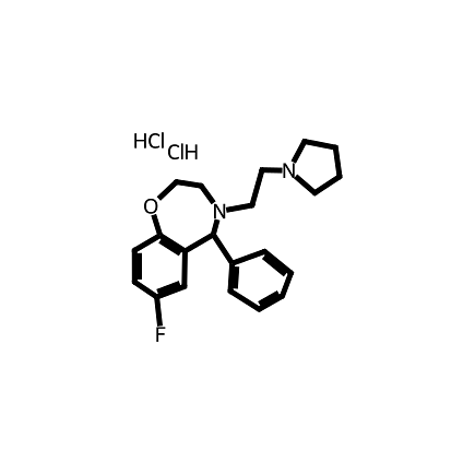 Cl.Cl.Fc1ccc2c(c1)C(c1ccccc1)N(CCN1CCCC1)CCO2